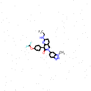 Cn1nnc2ccc(-n3cc4ccc(NCC(F)(F)F)nc4c(-c4ccc(OC(F)F)cc4)c3=O)cc21